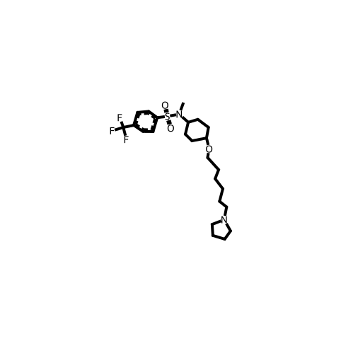 CN(C1CCC(OCCCCCCN2CCCC2)CC1)S(=O)(=O)c1ccc(C(F)(F)F)cc1